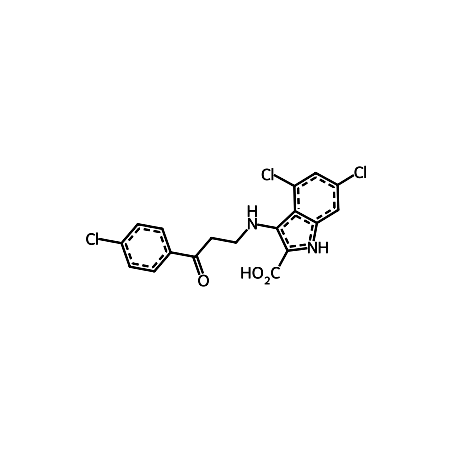 O=C(CCNc1c(C(=O)O)[nH]c2cc(Cl)cc(Cl)c12)c1ccc(Cl)cc1